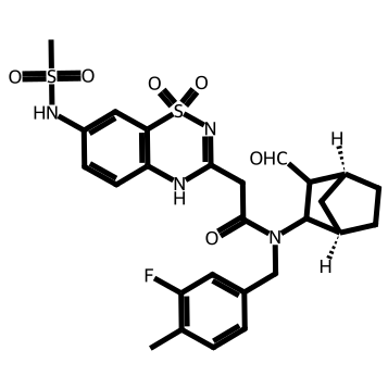 Cc1ccc(CN(C(=O)CC2=NS(=O)(=O)c3cc(NS(C)(=O)=O)ccc3N2)C2C(C=O)[C@H]3CC[C@@H]2C3)cc1F